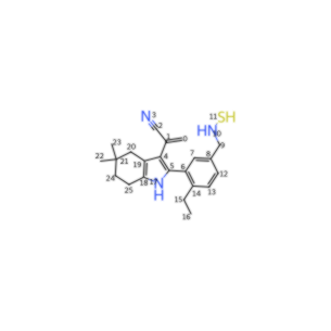 C=C(C#N)c1c(-c2cc(CNS)ccc2CC)[nH]c2c1CC(C)(C)CC2